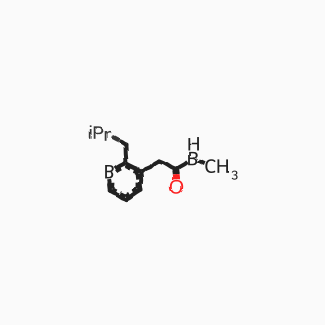 CBC(=O)Cc1cccbc1CC(C)C